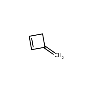 C=C1C=CC1